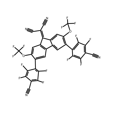 N#CC(C#N)=C1c2cc(OC(F)(F)F)c(-c3c(F)c(F)c(C#N)c(F)c3F)cc2-c2cc(-c3c(F)c(F)c(C#N)c(F)c3F)c(OC(F)(F)F)cc21